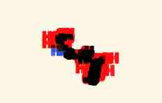 COC(=O)[C@H]1O[C@@H](OC(=O)Nc2ccc(COC(=O)N3CO[C@@H]4[C@H](C)O[C@@H](O[C@H]5C[C@](O)(C(=O)CO)Cc6c(O)c7c(c(O)c65)C(=O)c5c(OC)cccc5C7=O)C[C@@H]43)cc2)[C@H](O)[C@@H](O)[C@@H]1O